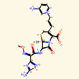 CO/N=C(\C(=O)NC1C(=O)N2C(C(=O)[O-])=C(/C=C/C[n+]3cccc(N)c3)CS[C@H]12)c1nsc(N)n1